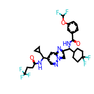 O=C(CCC(F)(F)F)NC(c1cnn2cc([C@@H](NC(=O)c3cccc(OC(F)F)c3)C3CCC(F)(F)CC3)nc2c1)C1CC1